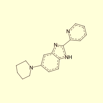 c1ccc(-c2nc3cc(N4CCCCC4)ccc3[nH]2)nc1